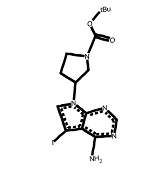 CC(C)(C)OC(=O)N1CCC(n2cc(I)c3c(N)ncnc32)C1